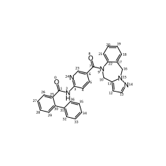 O=C(Nc1ccc(C(=O)N2Cc3ccnn3Cc3ccccc32)cn1)c1ccccc1-c1ccccc1